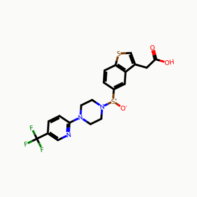 O=C(O)Cc1csc2ccc([S+]([O-])N3CCN(c4ccc(C(F)(F)F)cn4)CC3)cc12